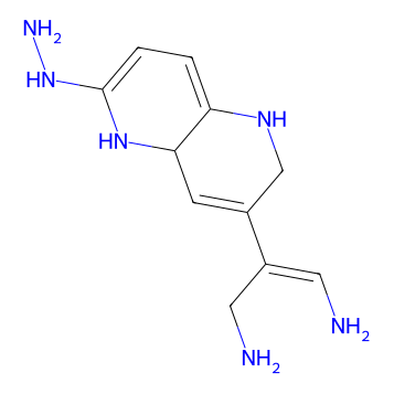 N/C=C(\CN)C1=CC2NC(NN)=CC=C2NC1